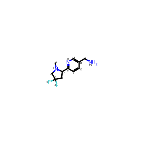 CN1CC(F)(F)CC1c1ccc(CN)cn1